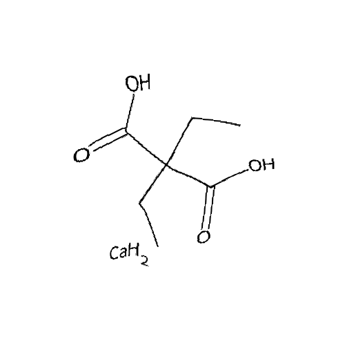 CCC(CC)(C(=O)O)C(=O)O.[CaH2]